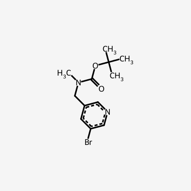 CN(Cc1cncc(Br)c1)C(=O)OC(C)(C)C